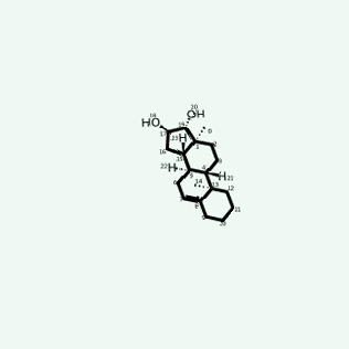 C[C@]12CC[C@H]3[C@@H](CC=C4CCCC[C@@]43C)[C@@H]1C[C@@H](O)[C@@H]2O